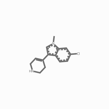 Cn1cc(C2=CCNCC2)c2ccc(Cl)cc21